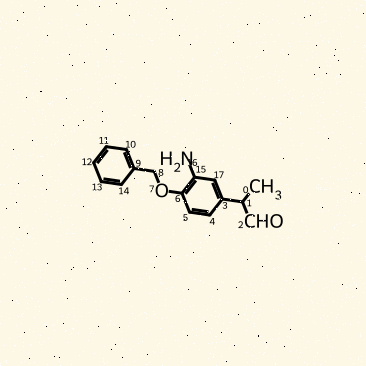 CC(C=O)c1ccc(OCc2ccccc2)c(N)c1